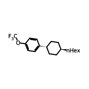 CCCCCC[C@H]1CC[C@H](c2ccc(OC(F)(F)F)cc2)CC1